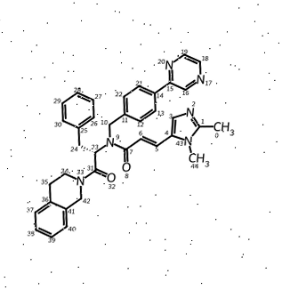 Cc1ncc(/C=C/C(=O)N(Cc2ccc(-c3cnccn3)cc2)[C@@H](Cc2ccccc2)C(=O)N2CCc3ccccc3C2)n1C